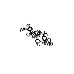 COc1ccc(N2C(=O)[C@@H](C)N(C3CCOCC3)c3nc(Nc4ccc5[nH]c(=O)oc5c4)ncc32)cc1C#N